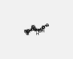 COCCc1ccc(OCC(O)CNC2CCN([C@@H]3CCCC[C@@H]3OCCc3ccc(OC)c(OC)c3)C2)cc1